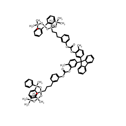 Cc1ccc(C2(c3ccc(C)c(OC(=O)Oc4cccc(CCC[Si](C)(O[Si](C)(C)C)O[Si](O[Si](C)(C)C)(c5ccccc5)c5ccccc5)c4)c3)c3ccccc3-c3ccccc32)cc1OC(=O)Oc1cccc(CCC[Si](C)(O[Si](C)(C)O[Si](C)(C)C)O[Si](C)(c2ccccc2)c2ccccc2)c1